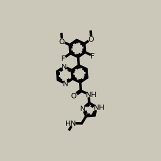 CNCc1c[nH]c(NC(=O)c2ccc(-c3c(F)c(OC)cc(OC)c3F)c3nccnc23)n1